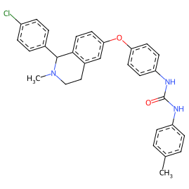 Cc1ccc(NC(=O)Nc2ccc(Oc3ccc4c(c3)CCN(C)C4c3ccc(Cl)cc3)cc2)cc1